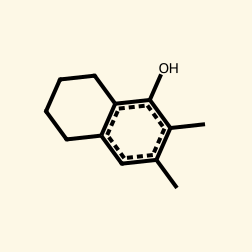 Cc1cc2c(c(O)c1C)CCCC2